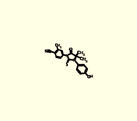 Cc1cc(N2C(=O)C(C)(C)N(c3ccc(O)cc3)C2=S)ccc1C#N